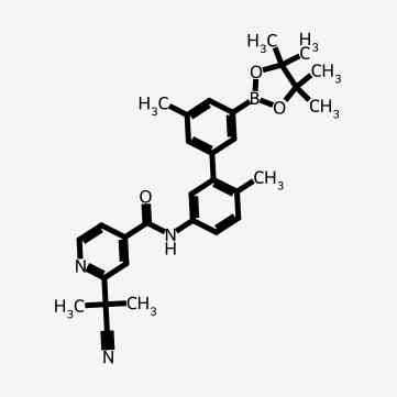 Cc1cc(B2OC(C)(C)C(C)(C)O2)cc(-c2cc(NC(=O)c3ccnc(C(C)(C)C#N)c3)ccc2C)c1